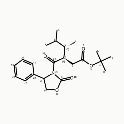 CC(C)[C@H](C)[C@@H](CC(=O)OC(C)(C)C)C(=O)N1C(=O)OCC1c1ccccc1